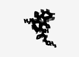 CCCC(=O)Nc1ccc(N)c2c1C(=O)c1ccccc1C2=O